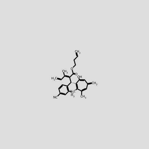 C=CCCOC(=O)/C(=C(\C)C=C)[C@H](C1=C(C)C(C)=CC(=C)C=C1O)c1ccc(C#N)cc1C